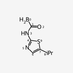 BC(=O)Nc1ncc(C(C)C)s1